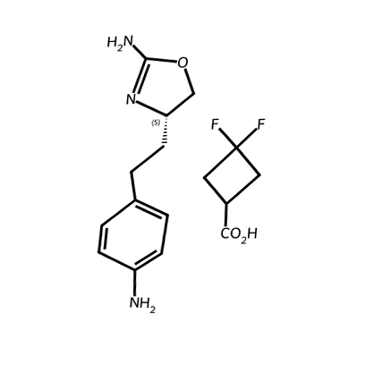 NC1=N[C@@H](CCc2ccc(N)cc2)CO1.O=C(O)C1CC(F)(F)C1